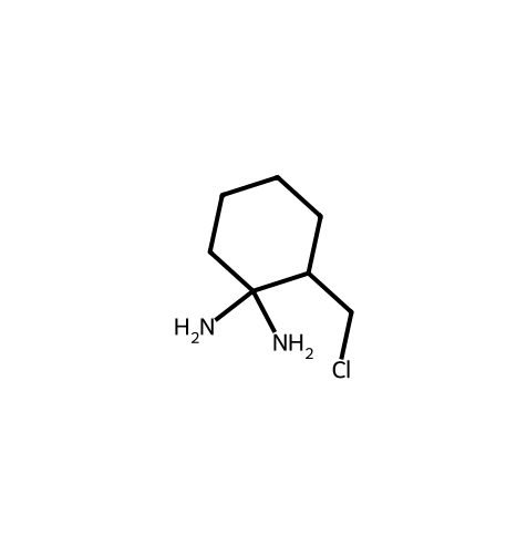 NC1(N)CCCCC1CCl